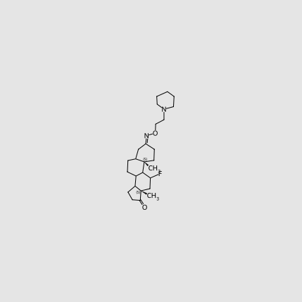 C[C@]12CCC(=NOCCN3CCCCC3)CC1CCC1C2C(F)C[C@]2(C)C(=O)CCC12